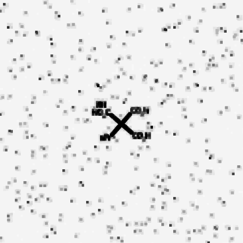 CCCC(C(=O)O)(C(=O)O)C(=O)O.[KH]